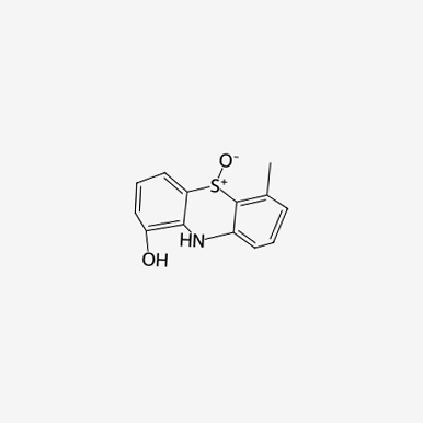 Cc1cccc2c1[S+]([O-])c1cccc(O)c1N2